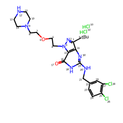 CC(C)(C)c1nn(CCOCCN2CCNCC2)c2c(=O)[nH]c(NCc3ccc(Cl)c(Cl)c3)nc12.Cl.Cl